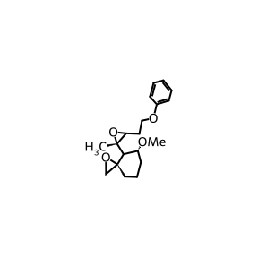 CO[C@@H]1CCC[C@]2(CO2)C1[C@]1(C)OC1CCOc1ccccc1